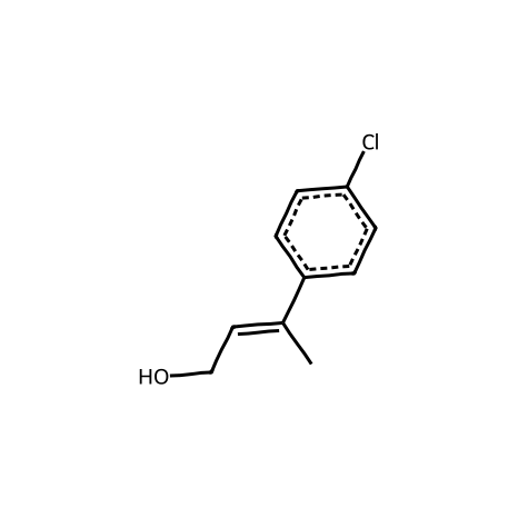 C/C(=C\CO)c1ccc(Cl)cc1